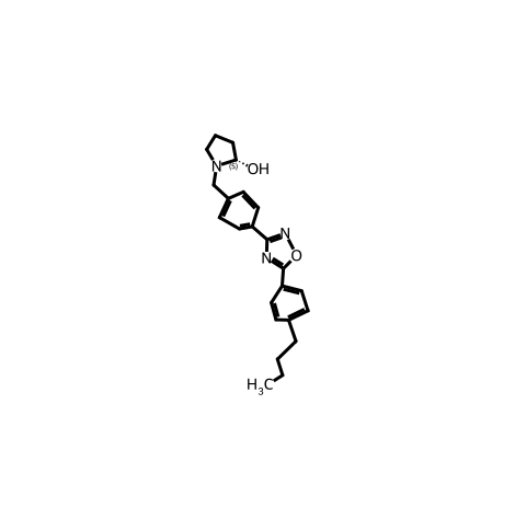 CCCCc1ccc(-c2nc(-c3ccc(CN4CCC[C@@H]4O)cc3)no2)cc1